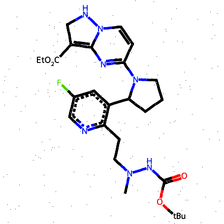 CCOC(=O)C1=C2N=C(N3CCCC3c3cc(F)cnc3CCN(C)NC(=O)OC(C)(C)C)C=CN2NC1